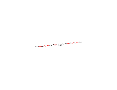 CCCCCCCCCCCCCCCCSOC(=O)CCCCCCCCCCCCCCC